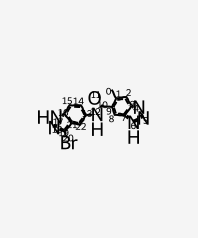 Cc1cc2nn[nH]c2cc1C(=O)Nc1ccc2[nH]nc(Br)c2c1